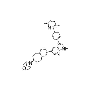 Cc1ccc(C)c(-c2ccc(-c3c[nH]c4ncc(-c5ccc6c(c5)CC[C@@H](N5C7COCC5C7)CC6)cc34)cc2)n1